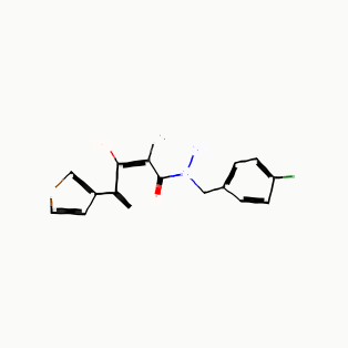 C=C(/C(O)=C(/C#N)C(=O)N(N)Cc1ccc(F)cc1)c1ccsc1